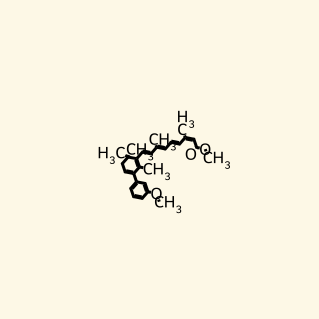 COC(=O)\C=C(C)/C=C/C=C(C)/C=C/C1=C(C)C(c2cccc(OC)c2)=CCC1(C)C